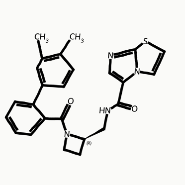 Cc1ccc(-c2ccccc2C(=O)N2CC[C@@H]2CNC(=O)c2cnc3sccn23)cc1C